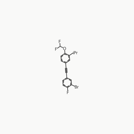 CC(C)c1cc(C#Cc2ccc(F)c(Br)c2)ccc1OC(F)F